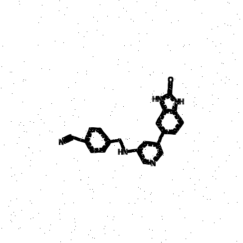 N#Cc1ccc(CNc2cncc(-c3ccc4[nH]c(=O)[nH]c4c3)c2)cc1